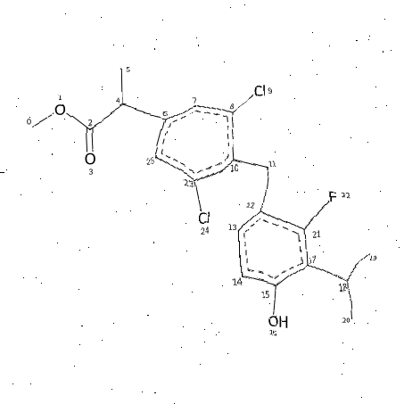 COC(=O)C(C)c1cc(Cl)c(Cc2ccc(O)c(C(C)C)c2F)c(Cl)c1